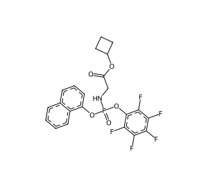 O=C(CNP(=O)(Oc1c(F)c(F)c(F)c(F)c1F)Oc1cccc2ccccc12)OC1CCC1